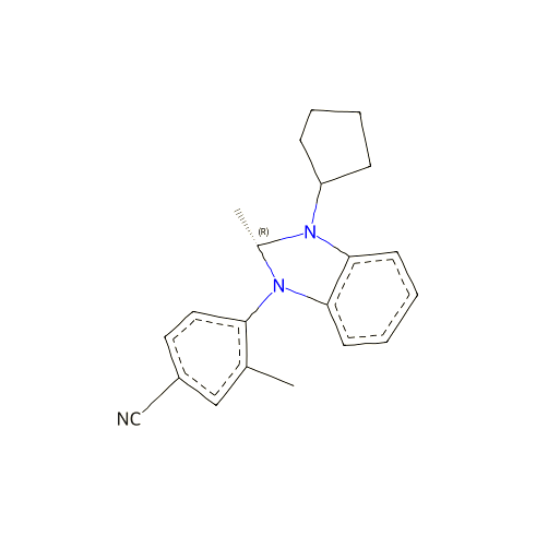 Cc1cc(C#N)ccc1N1c2ccccc2N(C2CCCC2)[C@H]1C